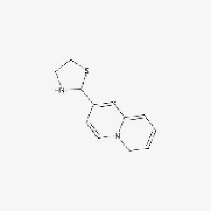 [C]1=C(C2NCCS2)C=CN2CC=CC=C12